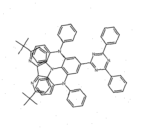 CC(C)(C)c1ccc2c(n1)c1nc(C(C)(C)C)ccc1n2-c1c(N(c2ccccc2)c2ccccc2)cc(-c2nc(-c3ccccc3)nc(-c3ccccc3)n2)cc1N(c1ccccc1)c1ccccc1